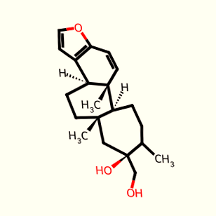 CC1CC[C@H]2[C@@](C)(CC[C@H]3c4ccoc4C=C[C@@]32C)C[C@@]1(O)CO